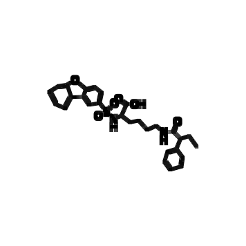 CCC(C(=O)NCCCCC(NS(=O)(=O)c1ccc2oc3ccccc3c2c1)C(=O)O)c1ccccc1